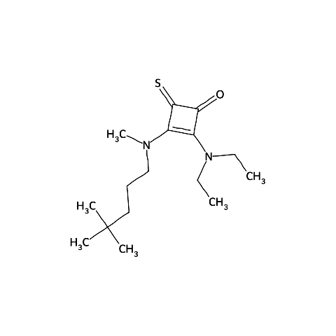 CCN(CC)c1c(N(C)CCCC(C)(C)C)c(=S)c1=O